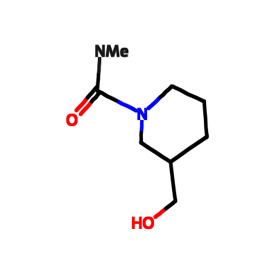 CNC(=O)N1CCCC(CO)C1